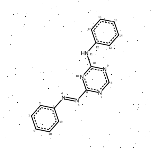 c1ccc(N=Nc2ncnc(Nc3ccccc3)n2)cc1